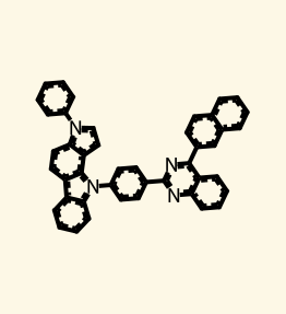 c1ccc(-n2ccc3c2ccc2c4ccccc4n(-c4ccc(-c5nc(-c6ccc7ccccc7c6)c6ccccc6n5)cc4)c23)cc1